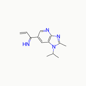 C=CC(=N)c1cnc2nc(C)n(C(C)C)c2c1